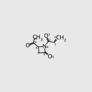 C=CC(=O)N1C(=O)CC1C(C)=O